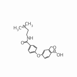 CN(C)CCNC(=O)c1ccc(Oc2ccc3c(c2)COB3O)cc1